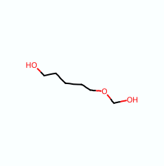 OCCCCCOCO